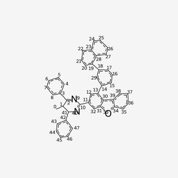 CC1C(c2ccccc2)=NC(c2cc(-c3cccc(-c4cccc5ccccc45)c3)c3c(c2)oc2ccccc23)=NC1c1ccccc1